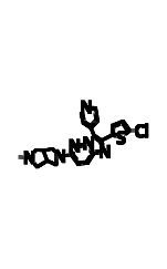 CN1CC2CN(c3ccc4nc(-c5ccc(Cl)s5)c(-c5ccncc5)n4n3)CC2C1